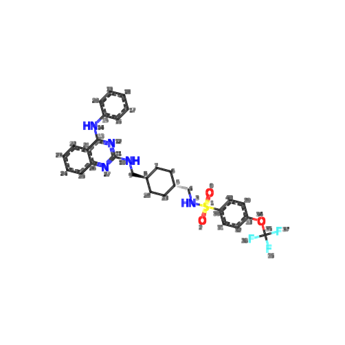 O=S(=O)(NC[C@H]1CC[C@H](CNc2nc(Nc3ccccc3)c3ccccc3n2)CC1)c1ccc(OC(F)(F)F)cc1